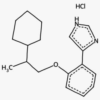 CC(COc1ccccc1-c1c[nH]cn1)C1CCCCC1.Cl